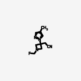 Cc1cnn(C2(CC#N)CN(CF)C2)c1